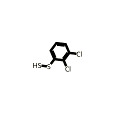 SSc1cccc(Cl)c1Cl